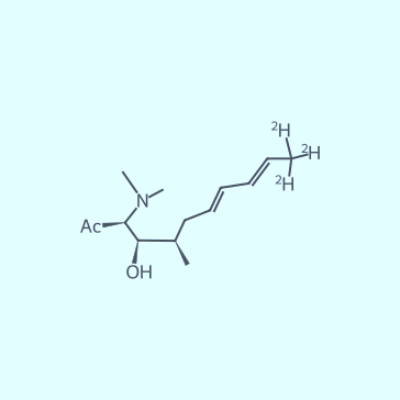 [2H]C([2H])([2H])C=CC=CC[C@@H](C)[C@@H](O)[C@@H](C(C)=O)N(C)C